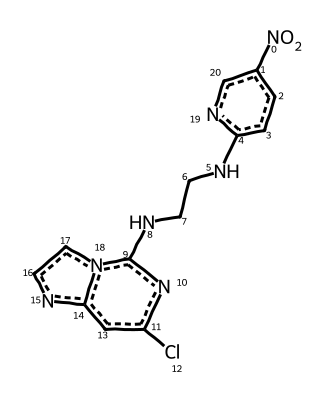 O=[N+]([O-])c1ccc(NCCNc2nc(Cl)cc3nccn23)nc1